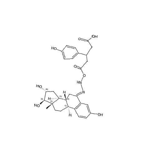 C[C@]12CC[C@@H]3c4ccc(O)cc4C(=NNOC(=O)CC(CC(=O)O)c4ccc(O)cc4)C[C@H]3[C@@H]1C[C@@H](O)[C@@H]2O